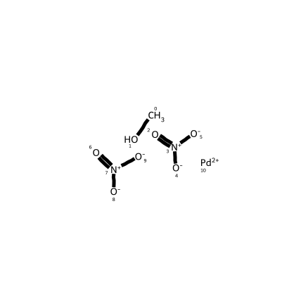 CO.O=[N+]([O-])[O-].O=[N+]([O-])[O-].[Pd+2]